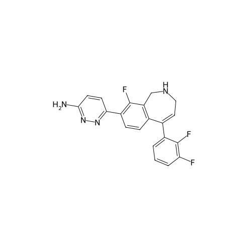 Nc1ccc(-c2ccc3c(c2F)CNCC=C3c2cccc(F)c2F)nn1